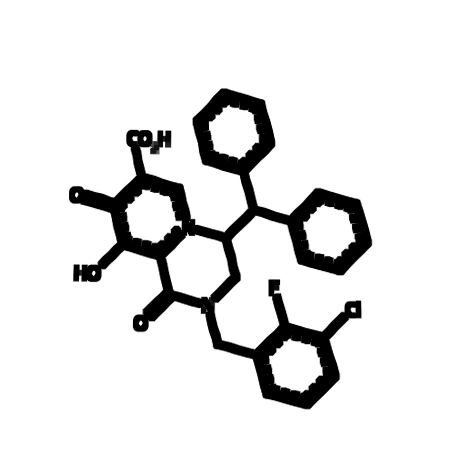 O=C(O)c1cn2c(c(O)c1=O)C(=O)N(Cc1cccc(Cl)c1F)CC2C(c1ccccc1)c1ccccc1